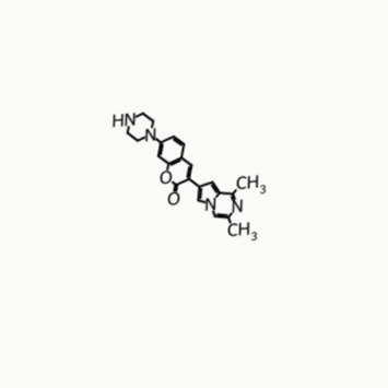 Cc1cn2cc(-c3cc4ccc(N5CCNCC5)cc4oc3=O)cc2c(C)n1